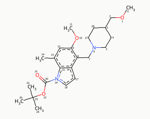 COCC1CCN(Cc2c(OC)cc(C)c3c2ccn3C(=O)OC(C)(C)C)CC1